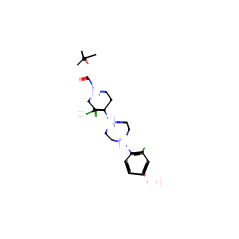 CC(C)(C)OC(=O)N1CCC(N2CCN(c3ccc(O)cc3F)CC2)C(F)(F)C1